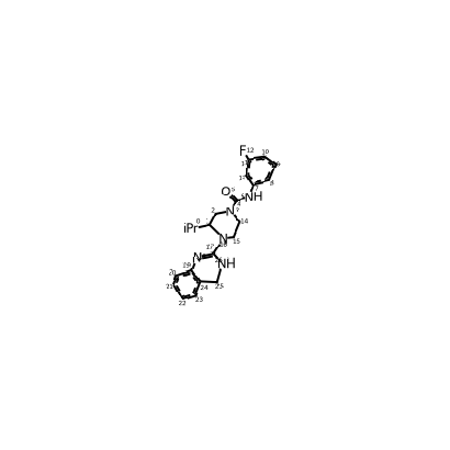 CC(C)C1CN(C(=O)Nc2cccc(F)c2)CCN1C1=Nc2ccccc2CN1